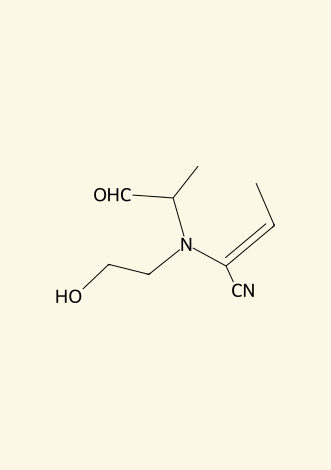 C/C=C(/C#N)N(CCO)C(C)C=O